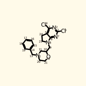 Clc1nc(Cl)c2c(n1)N(CC1CN(Cc3ccccc3)CCO1)CC2